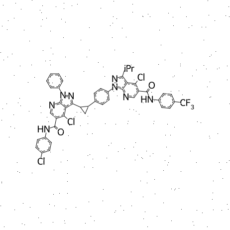 CC(C)c1nn(-c2ccc(C3CC3c3nn(-c4ccccc4)c4ncc(C(=O)Nc5ccc(Cl)cc5)c(Cl)c34)cc2)c2ncc(C(=O)Nc3ccc(C(F)(F)F)cc3)c(Cl)c12